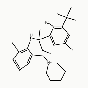 CCC(C)(Pc1c(C)cccc1CN1CCCCC1)c1cc(C)cc(C(C)(C)C)c1O